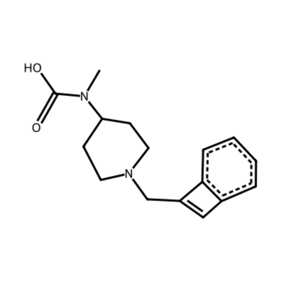 CN(C(=O)O)C1CCN(CC2=Cc3ccccc32)CC1